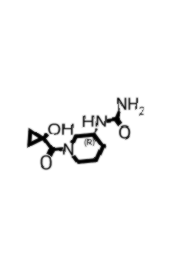 NC(=O)N[C@@H]1CCCN(C(=O)C2(O)CC2)C1